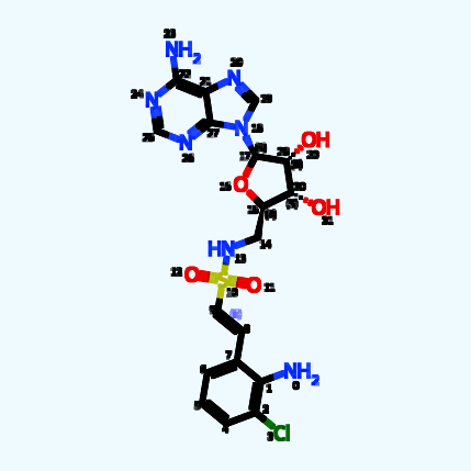 Nc1c(Cl)cccc1/C=C/S(=O)(=O)NC[C@H]1O[C@@H](n2cnc3c(N)ncnc32)[C@H](O)[C@@H]1O